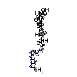 CC/C=C\C/C=C\C/C=C\C/C=C\C/C=C\C/C=C\CCC(=O)NCCNC(=O)OC[C@@H]1O[C@H](n2ccc(NC(=O)O)nc2=O)CS1